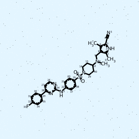 Cc1[nH]c(C#N)c(C)c1CN(C)C1CCN(S(=O)(=O)c2ccc(Nc3nccc(-c4ccc(F)cc4)n3)cc2)CC1